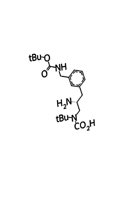 CC(C)(C)OC(=O)NCc1cccc(C[C@@H](N)CN(C(=O)O)C(C)(C)C)c1